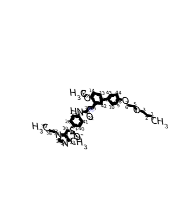 CCCCOCCOc1ccc(-c2ccc(OC)c(/C=C/C(=O)Nc3ccc([S@@+]([O-])Cc4c(C)ncn4CCC)cc3)c2)cc1